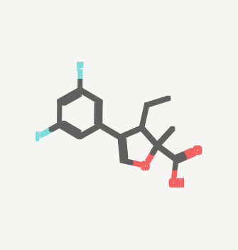 CCC1C(c2cc(F)cc(F)c2)=COC1(C)C(=O)O